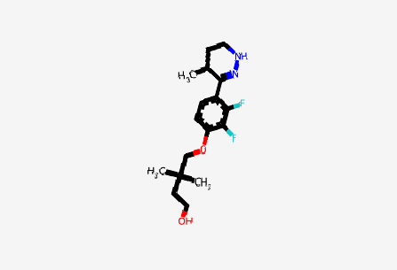 CC1CCNN=C1c1ccc(OCC(C)(C)CCO)c(F)c1F